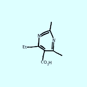 CCc1nc(C)nc(C)c1C(=O)O